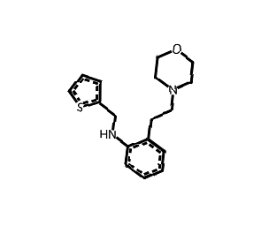 c1csc(CNc2ccccc2CCN2CCOCC2)c1